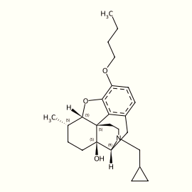 CCCCOc1ccc2c3c1O[C@H]1[C@@H](C)CC[C@@]4(O)[C@@H](C2)N(CC2CC2)CC[C@]314